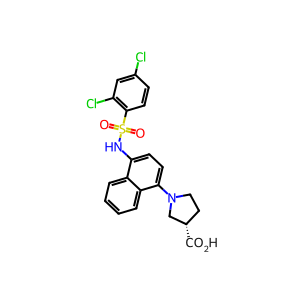 O=C(O)[C@H]1CCN(c2ccc(NS(=O)(=O)c3ccc(Cl)cc3Cl)c3ccccc23)C1